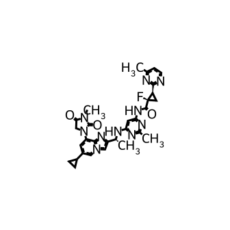 Cc1ccnc([C@H]2C[C@]2(F)C(=O)Nc2cc(N[C@H](C)c3cn4cc(C5CC5)cc(N5CC(=O)N(C)C5=O)c4n3)nc(C)n2)n1